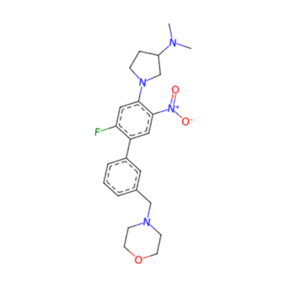 CN(C)C1CCN(c2cc(F)c(-c3cccc(CN4CCOCC4)c3)cc2[N+](=O)[O-])C1